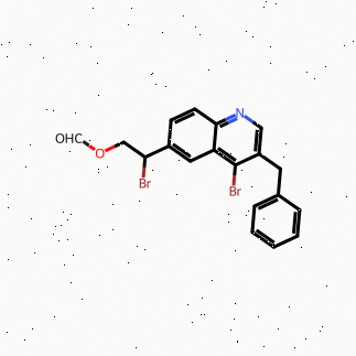 O=COCC(Br)c1ccc2ncc(Cc3ccccc3)c(Br)c2c1